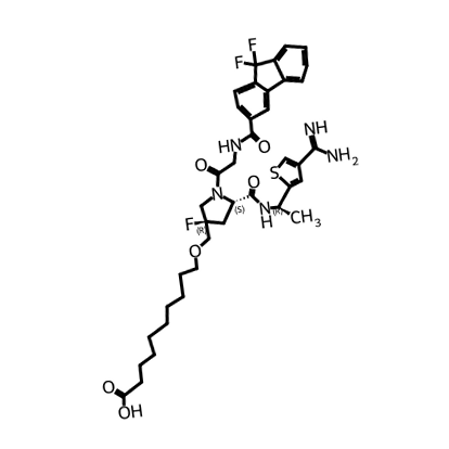 C[C@@H](NC(=O)[C@@H]1C[C@](F)(COCCCCCCCCCC(=O)O)CN1C(=O)CNC(=O)c1ccc2c(c1)-c1ccccc1C2(F)F)c1cc(C(=N)N)cs1